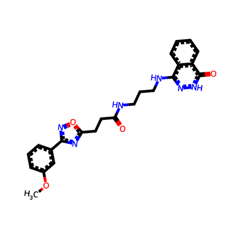 COc1cccc(-c2noc(CCC(=O)NCCCNc3n[nH]c(=O)c4ccccc34)n2)c1